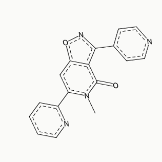 Cn1c(-c2ccccn2)cc2onc(-c3ccncc3)c2c1=O